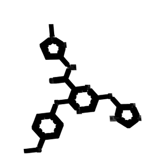 COc1ccc(Sc2ncc(Sc3nnc[nH]3)nc2C(=O)Nc2ccn(C)n2)cc1